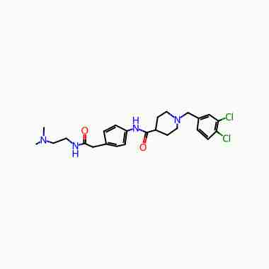 CN(C)CCNC(=O)Cc1ccc(NC(=O)C2CCN(Cc3ccc(Cl)c(Cl)c3)CC2)cc1